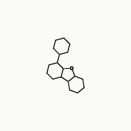 C1CCC(C2CCCC3C4CCCCC4OC23)CC1